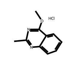 COc1nc(C)nc2ccccc12.Cl